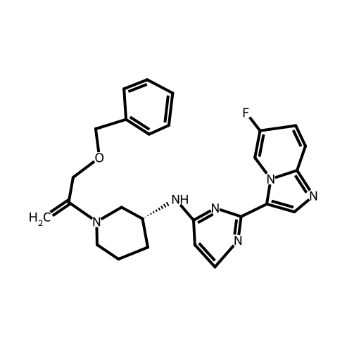 C=C(COCc1ccccc1)N1CCC[C@@H](Nc2ccnc(-c3cnc4ccc(F)cn34)n2)C1